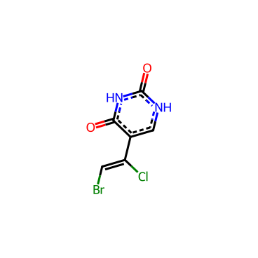 O=c1[nH]cc(C(Cl)=CBr)c(=O)[nH]1